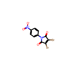 O=C1C(Br)=C(Br)C(=O)N1c1ccc([N+](=O)[O-])cc1